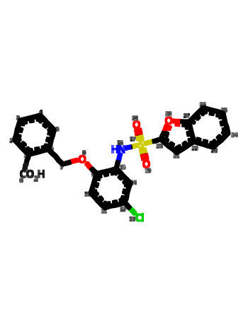 O=C(O)c1ccccc1COc1ccc(Cl)cc1NS(=O)(=O)c1cc2ccccc2o1